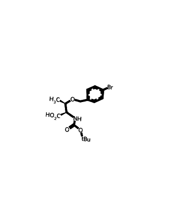 C[C@@H](OCc1ccc(Br)cc1)[C@@H](NC(=O)OC(C)(C)C)C(=O)O